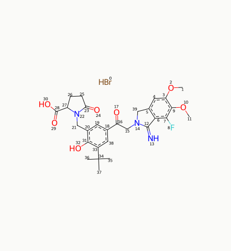 Br.COc1cc2c(c(F)c1OC)C(=N)N(CC(=O)c1cc(CN3C(=O)CCC3C(=O)O)c(O)c(C(C)(C)C)c1)C2